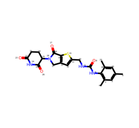 Cc1cc(C)c(NC(=O)NCc2cc3c(s2)C(=O)N(C2CCC(=O)NC2=O)C3)c(C)c1